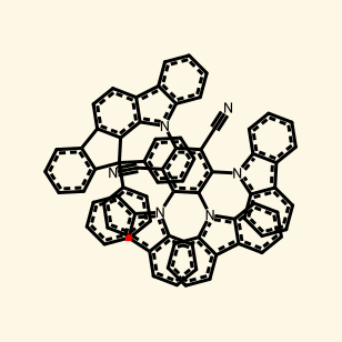 N#Cc1c(-n2c3ccccc3c3ccccc32)c(-n2c3ccccc3c3ccccc32)c(-n2c3ccccc3c3ccccc32)c(C#N)c1-n1c2ccccc2c2ccc3c(c21)C(c1ccccc1)(c1ccccc1)c1ccccc1-3